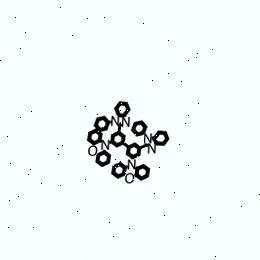 c1ccc(-n2c(-c3cc(-c4cc(-c5nc6ccccc6n5-c5ccccc5)cc(N5c6ccccc6Oc6ccccc65)c4)cc(N4c5ccccc5Oc5ccccc54)c3)nc3ccccc32)cc1